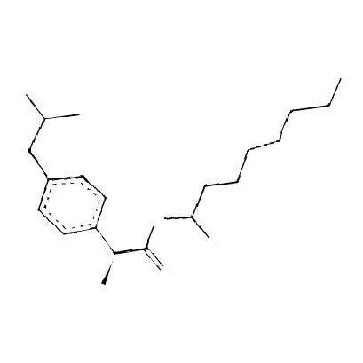 CCCCCCCC(Br)OC(=O)[C@@H](C)c1ccc(CC(C)C)cc1